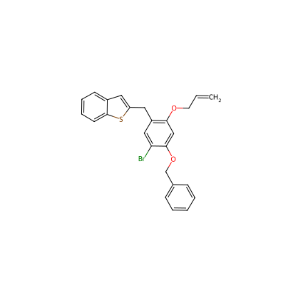 C=CCOc1cc(OCc2ccccc2)c(Br)cc1Cc1cc2ccccc2s1